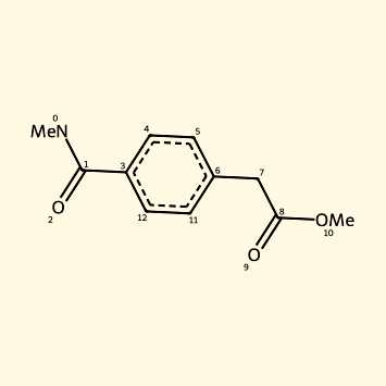 CNC(=O)c1ccc(CC(=O)OC)cc1